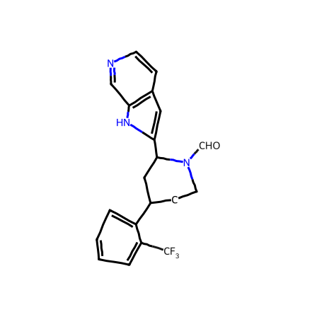 O=CN1CCC(c2ccccc2C(F)(F)F)CC1c1cc2ccncc2[nH]1